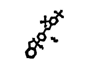 O=S(=O)([O-])c1ccc(C=Cc2ccc(C3(C(F)(F)F)NCc4ccccc43)cc2)c(S(=O)(=O)[O-])c1.[Na+].[Na+]